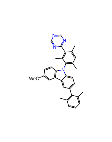 COc1ccc2c(c1)c1cc(-c3c(C)cccc3C)ccc1n2-c1c(C)cc(C)c(-c2ncncn2)c1C